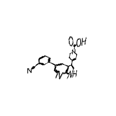 N#Cc1cccc(-c2cnc3[nH]cc(C4=CCN(C(=O)O)CC4)c3c2)c1